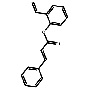 C=Cc1ccccc1OC(=O)C=Cc1ccccc1